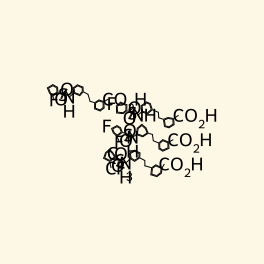 O=C(O)c1cccc(CCc2cccc(NS(=O)(=O)c3ccc(F)cc3)c2)c1.O=C(O)c1cccc(CCc2cccc(NS(=O)(=O)c3ccc(F)cc3F)c2)c1.O=C(O)c1cccc(CCc2cccc(NS(=O)(=O)c3ccccc3C(F)(F)F)c2)c1.O=C(O)c1cccc(CCc2cccc(NS(=O)(=O)c3ccccc3F)c2)c1